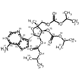 CC(C)OC(=O)OC[C@@]1(C)O[C@@H](c2ccc3c(N)ncnn23)[C@H](OC(=O)OC(C)C)[C@@H]1OC(=O)OC(C)C